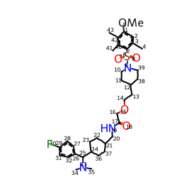 COc1cc(C)c(S(=O)(=O)N2CCC(CCOCC(=O)NCC3CCC(C(c4ccc(F)cc4)N(C)C)CC3)CC2)c(C)c1C